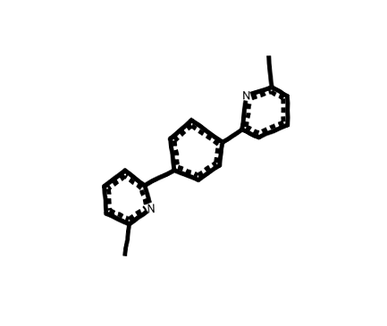 Cc1cccc(-c2ccc(-c3cccc(C)n3)cc2)n1